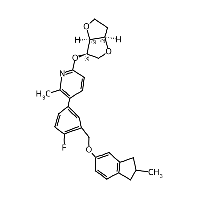 Cc1nc(O[C@@H]2CO[C@@H]3CCO[C@@H]32)ccc1-c1ccc(F)c(COc2ccc3c(c2)CC(C)C3)c1